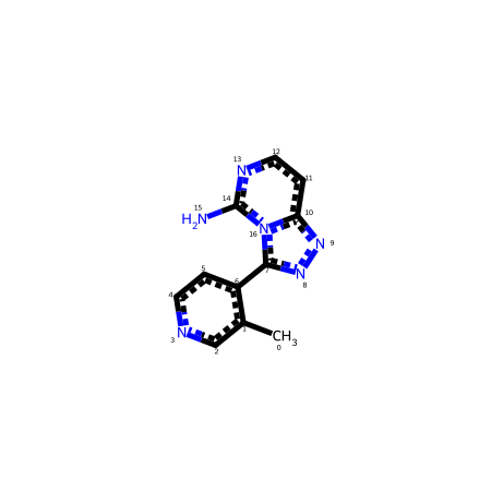 Cc1cnccc1-c1nnc2ccnc(N)n12